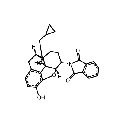 O=C1c2ccccc2C(=O)N1[C@H]1CC[C@@]2(O)[C@H]3Cc4ccc(O)c5c4[C@@]2(CCN3CC2CC2)[C@H]1O5